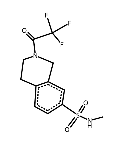 CNS(=O)(=O)c1ccc2c(c1)CN(C(=O)C(F)(F)F)CC2